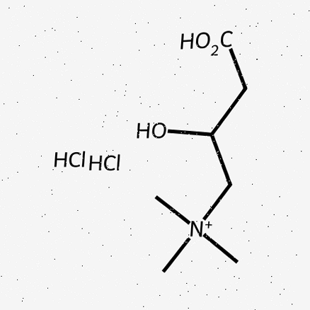 C[N+](C)(C)CC(O)CC(=O)O.Cl.Cl